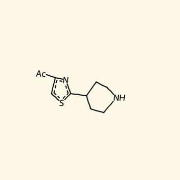 CC(=O)c1csc(C2CCNCC2)n1